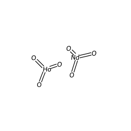 [O]=[Ho](=[O])=[O].[O]=[Nd](=[O])=[O]